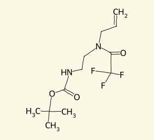 C=CCN(CCNC(=O)OC(C)(C)C)C(=O)C(F)(F)F